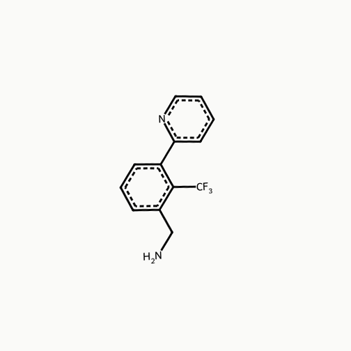 NCc1cccc(-c2ccccn2)c1C(F)(F)F